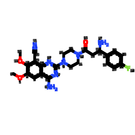 COc1cc2c(N)nc(N3CCN(C(=O)C[C@@H](N)c4ccc(F)cc4)CC3)nc2c(C#N)c1OC